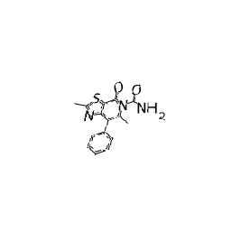 Cc1nc2c(-c3ccccc3)c(C)n(C(N)=O)c(=O)c2s1